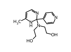 CC1=CC=NC(c2ccncc2)(N(CCO)CCO)N1